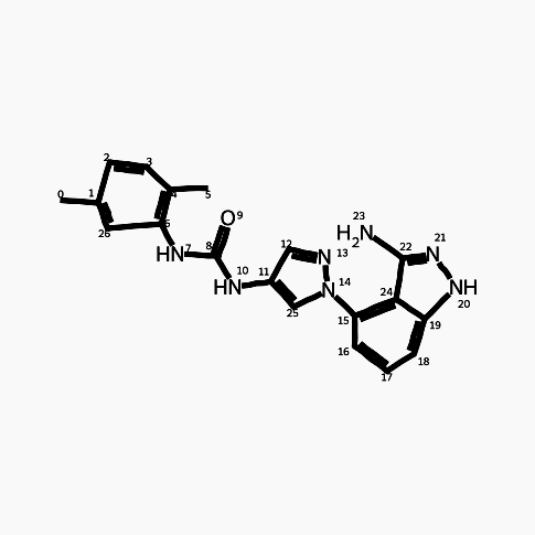 Cc1ccc(C)c(NC(=O)Nc2cnn(-c3cccc4[nH]nc(N)c34)c2)c1